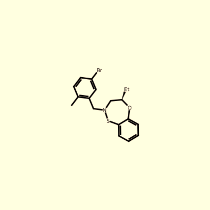 CC[C@@H]1CN(Cc2cc(Br)ccc2C)Sc2ccccc2O1